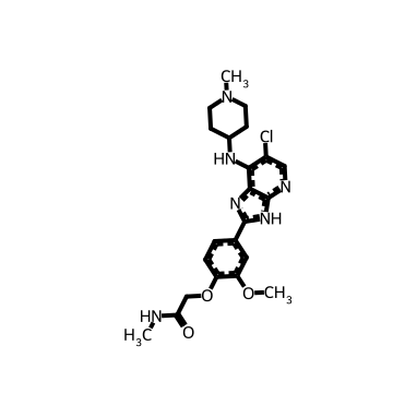 CNC(=O)COc1ccc(-c2nc3c(NC4CCN(C)CC4)c(Cl)cnc3[nH]2)cc1OC